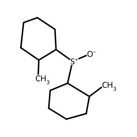 CC1CCCCC1[S+]([O-])C1CCCCC1C